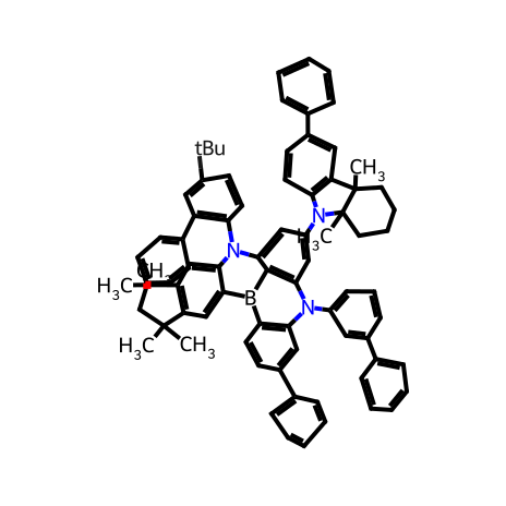 CC(C)(C)c1ccc(N2c3cc4c(cc3B3c5ccc(-c6ccccc6)cc5N(c5cccc(-c6ccccc6)c5)c5cc(N6c7ccc(-c8ccccc8)cc7C7(C)CCCCC67C)cc2c53)C(C)(C)CC4(C)C)c(-c2ccccc2)c1